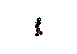 c1ccc(-c2nc3cc(-c4ccc5oc6c(ccc7c8ccccc8oc76)c5c4)ccc3n2-c2ccccc2)cc1